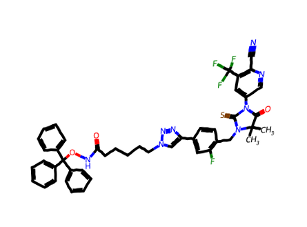 CC1(C)C(=O)N(c2cnc(C#N)c(C(F)(F)F)c2)C(=S)N1Cc1ccc(-c2cn(CCCCCC(=O)NOC(c3ccccc3)(c3ccccc3)c3ccccc3)nn2)cc1F